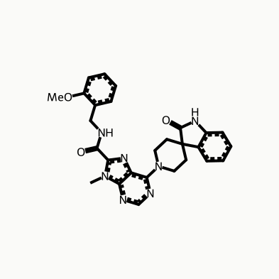 COc1ccccc1CNC(=O)c1nc2c(N3CCC4(CC3)C(=O)Nc3ccccc34)ncnc2n1C